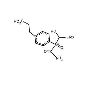 CCCCCCC(O)[SH](=O)(C(N)=O)c1ccc(CCC(=O)O)cc1